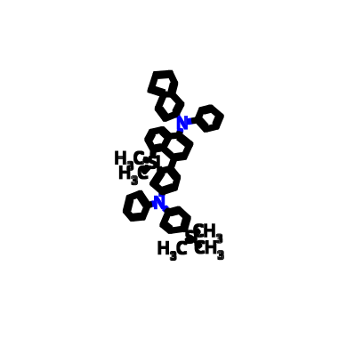 C[Si](C)(C)c1ccc(N(c2ccccc2)c2ccc3c(c2)[Si](C)(C)c2cccc4c(N(c5ccccc5)c5ccc6ccccc6c5)ccc-3c24)cc1